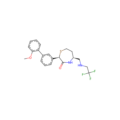 COc1ccccc1-c1cccc([C@H]2SCC[C@@H](CNCC(F)(F)F)NC2=O)c1